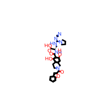 N#C/N=C(/NC[C@H](NC(=O)c1c(O)cc2c(c1O)CCN(C(=O)c1cc3ccccc3o1)C2)C(=O)O)N1CCCC1